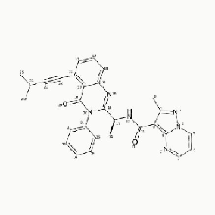 Cc1nn2cccnc2c1C(=O)N[C@@H](C)c1nc2cccc(C#CC(C)C)c2c(=O)n1-c1ccccc1